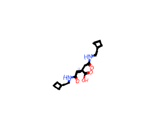 O=C(/C=C(/CC(=O)NCC1CCC1)C(=O)O)NCC1CCC1